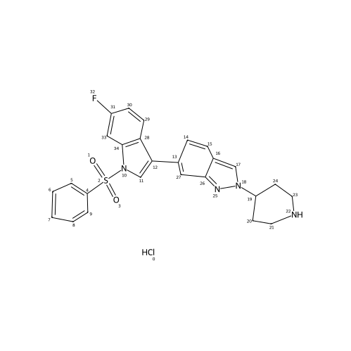 Cl.O=S(=O)(c1ccccc1)n1cc(-c2ccc3cn(C4CCNCC4)nc3c2)c2ccc(F)cc21